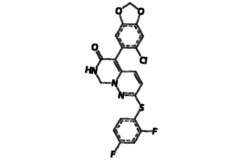 O=C1NCN2N=C(Sc3ccc(F)cc3F)C=CC2=C1c1cc2c(cc1Cl)OCO2